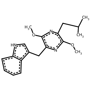 COc1nc(CC(C)C)c(OC)nc1Cc1c[nH]c2ccccc12